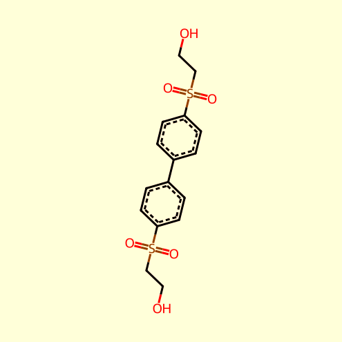 O=S(=O)(CCO)c1ccc(-c2ccc(S(=O)(=O)CCO)cc2)cc1